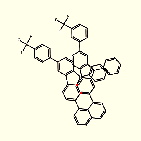 FC(F)(F)c1ccc(-c2ccc3c(c2)c2ccc(-c4cccc5cccc(-c6ccc7c8ccc(-c9cccc(C(F)(F)F)c9)cc8n(-c8ccccc8)c7c6)c45)cc2n3-c2ccccc2)cc1